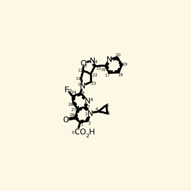 O=C(O)c1cn(C2CC2)c2nc(N3CC4ON=C(c5ccccn5)C4C3)c(F)cc2c1=O